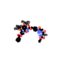 C=CCOC(=O)NC(C(=O)NC(C)C(=O)Nc1ccc(COC(=O)Nc2cc(O[Si](C(C)C)(C(C)C)C(C)C)c(OC)cc2C(=O)N2C[C@@H](OC(=O)c3ccccc3)C[C@H]2CO[Si](C)(C)C(C)(C)C)cc1)C(C)C